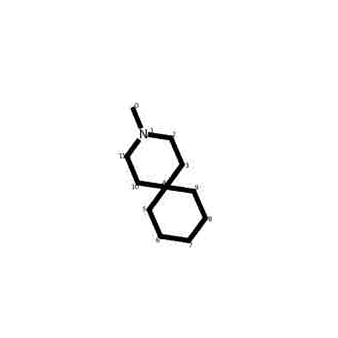 CN1CCC2(CCCCC2)CC1